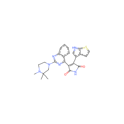 CN1CCN(c2nc(C3=C(c4c[nH]c5sccc45)C(=O)NC3=O)c3ccccc3n2)CC1(C)C